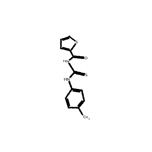 Cc1ccc(NC(=S)NC(=O)c2cccs2)cc1